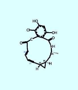 C[C@@H]1C[C@H]2C[C@@H]2/C=C\C=C\C(=O)Cc2c(Cl)c(O)cc(O)c2C(=O)N1